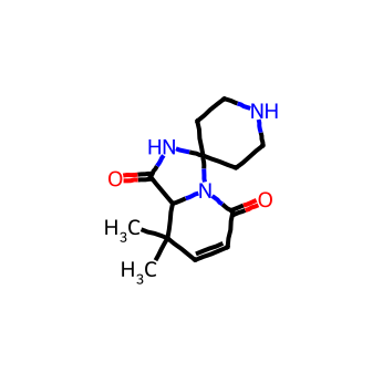 CC1(C)C=CC(=O)N2C1C(=O)NC21CCNCC1